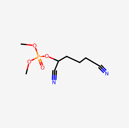 COP(=O)(OC)OC(C#N)CCCC#N